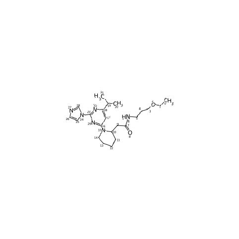 CCOCCCNC(=O)CC1CCCCN1c1cc(C(C)C)nc(-n2ccnc2)n1